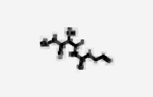 C=CCOC(=O)NC(C)C(O)C(=O)OC(C)(C)C